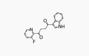 O=C(CCC(=O)c1c[nH]c2ccccc12)c1ncccc1F